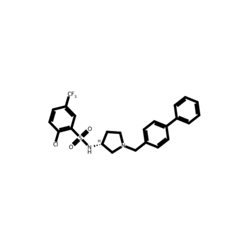 O=S(=O)(N[C@@H]1CCN(Cc2ccc(-c3ccccc3)cc2)C1)c1cc(C(F)(F)F)ccc1Cl